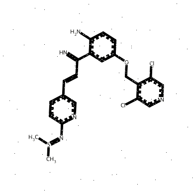 CS(C)=Nc1ccc(/C=C/C(=N)c2cc(OCc3c(Cl)cncc3Cl)ccc2N)cn1